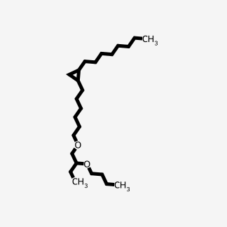 CCCCCCCCC1CC1CCCCCCOCC(CC)OCCCC